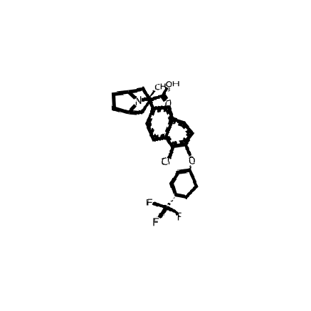 C[C@@H](c1ccc2c(Cl)c(O[C@H]3CC[C@@H](C(F)(F)F)CC3)ccc2c1)N1C2CCC1CC(C(=O)O)C2